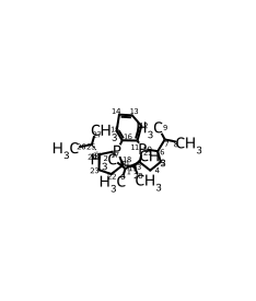 CC(C)C1CCC(C(C)C)P1c1ccccc1P1[C@@H](C(C)C)CC[C@@H]1C(C)C